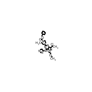 CCOCCn1nc(C(C)Cl)c2nc(N3CCN(C(=O)OCc4ccccc4)C(C)C3)nc(Nc3ccncn3)c21